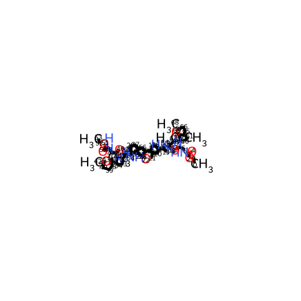 CCOC(=O)NCC(=O)N(Cc1ncc(-c2ccc3c(c2)COc2cc4c(ccc5nc(C6CC[C@H](C7(C)CCC[C@@H](C)O7)N6C(=O)CNC(=O)OCC)[nH]c54)cc2-3)[nH]1)[C@H](CC)C1(C)CCC[C@@H](C)O1